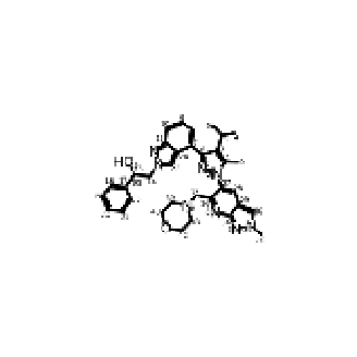 Cc1c(C(C)C)c(-c2cccc3nn(C[C@H](O)c4ccccc4)cc23)nn1-c1cc2cn(C)nc2nc1CN1CCOCC1